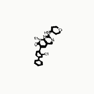 CCn1c(=O)c(-c2ccc(-c3ccccc3)cc2Cl)cc2cnc(NC3CCOCC3)nc21